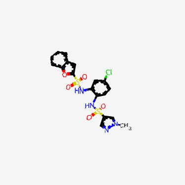 Cn1cc(S(=O)(=O)Nc2ccc(Cl)cc2NS(=O)(=O)c2cc3ccccc3o2)cn1